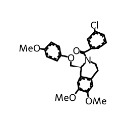 COc1ccc(OC[C@@H]2c3cc(OC)c(OC)cc3CCN2C(=O)c2cccc(Cl)c2)cc1